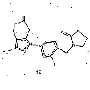 Cl.O=C1CCCN1Cc1ccc(-n2nc(C(F)(F)F)c3c2CNCC3)cc1F